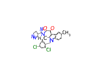 Cc1ccc2c(c1)c(C(=O)c1nc(-c3ccnnc3)no1)c(C)n2Cc1ccc(Cl)cc1Cl